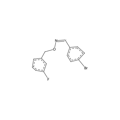 Fc1cccc(CO/N=[C]\c2ccc(Br)cc2)c1